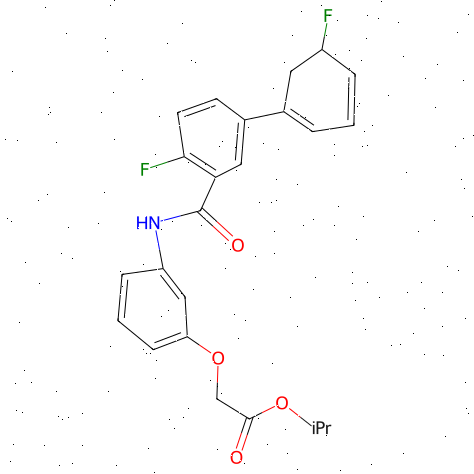 CC(C)OC(=O)COc1cccc(NC(=O)c2cc(C3=CC=CC(F)C3)ccc2F)c1